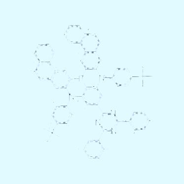 CC(C)(C)c1ccc(N2c3cc4ccc5ccccc5c4cc3B3c4cc5c(ccc6ccccc65)cc4N(c4ccc(C(C)(C)C)cc4)c4cc(-c5nc(-c6ccccc6)nc(-c6ccccc6)n5)cc2c43)cc1